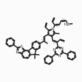 C=C/C(=C\c1c(/C=C(\C)c2ccc3c(c2)C(C)(C)c2ccc4nc(-c5ccccc5)sc4c2-3)c(C=C)n(/C(C=C)=C/C=C\BC)c1C)c1nc(-c2ccccc2)nc(-c2ccccc2)n1